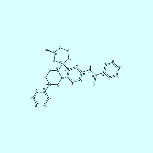 C[C@H]1CCC[C@](c2cccc(NC(=O)c3ccncc3)c2)(N2CCN(c3ccccc3)CC2)C1